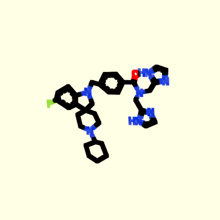 O=C(c1ccc(CN2CC3(CCN(C4CCCCC4)CC3)c3cc(F)ccc32)cc1)N(Cc1ncc[nH]1)Cc1ncc[nH]1